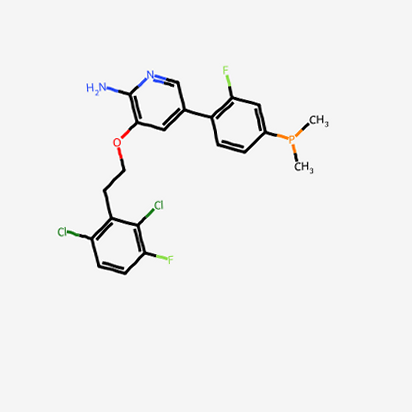 CP(C)c1ccc(-c2cnc(N)c(OCCc3c(Cl)ccc(F)c3Cl)c2)c(F)c1